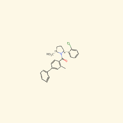 Cc1cc(-c2ccccc2)ccc1C(=O)N1[C@@H](c2ccccc2Cl)CC[C@H]1C(=O)O